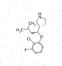 CC(C)C[C@H](Oc1cccc(F)c1Cl)[C@H]1CCNC1